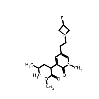 COC(=O)C(CC(C)C)c1cc(CCN2CC(F)C2)cn(C)c1=O